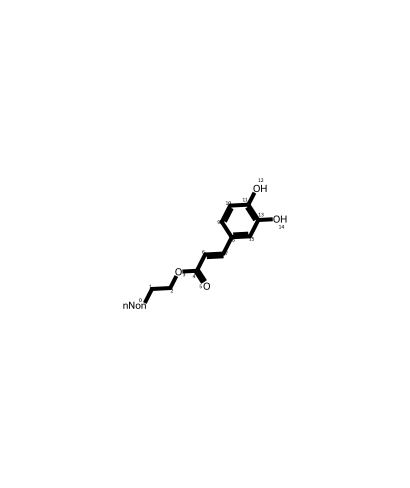 CCCCCCCCCCCOC(=O)/C=C/c1ccc(O)c(O)c1